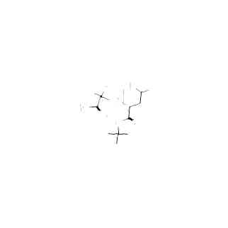 CC(C)(C)OC(=O)[C@@H](N)CC(F)F.O=C(O)C(F)(F)F